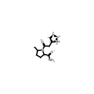 CC1CCC(C(N)=O)N1C(=O)Cc1cnn[nH]1